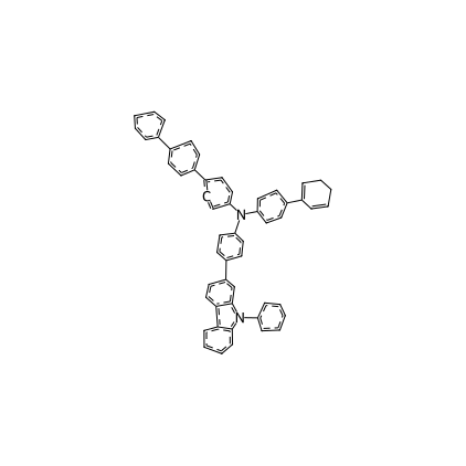 C1=CC(c2ccc(N(c3ccc(-c4ccc(-c5ccccc5)cc4)cc3)c3ccc(-c4ccc5c6ccccc6n(-c6ccccc6)c5c4)cc3)cc2)=CCC1